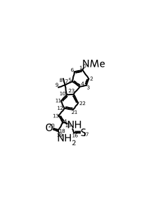 CNc1ccc2c(c1)C(C)(C)c1cc(/C=C(\NC=S)C(N)=O)ccc1-2